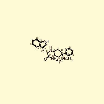 CN(C)C1(c2ccccc2)CCC(N[C@@H](Cc2c[nH]c3ccccc23)C(N)=O)CC1